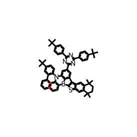 CC(C)(C)c1ccc(-c2nc(-c3ccc(C(C)(C)C)cc3)nc(-c3cc4c5c(c3)N(c3ccc(C(C)(C)C)cc3-c3ccccc3)c3ccccc3B5c3sc5cc6c(cc5c3-4)C(C)(C)CCC6(C)C)n2)cc1